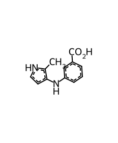 Cc1[nH]ccc1Nc1cccc(C(=O)O)c1